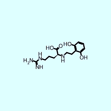 N=C(N)NCCC[C@H](NCCc1c(O)cccc1O)C(=O)O